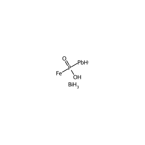 O=[P](O)([Fe])[PbH].[BiH3]